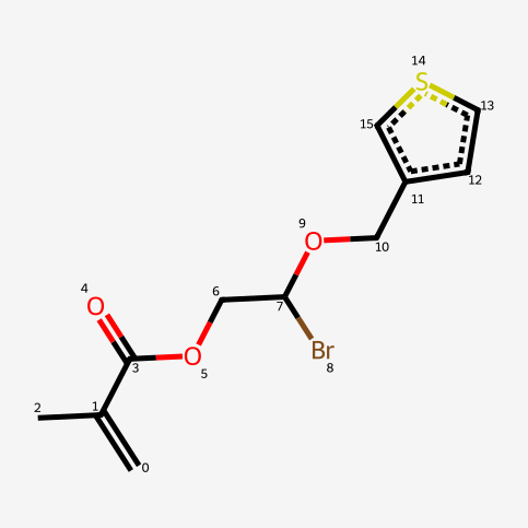 C=C(C)C(=O)OCC(Br)OCc1ccsc1